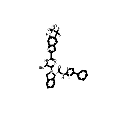 CC(C)(C)C(NC(=O)c1cc2cc(C(F)(F)P(=O)(O)O)ccc2s1)C(=O)N1Cc2ccccc2[C@H]1C(=O)Nc1ncc(-c2ccccc2)s1